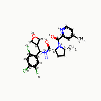 Cc1ccnc(C(=O)N2[C@H](C)CC[C@@H]2C(=O)N[C@@H](c2cc(F)c(Cl)cc2F)C2COC2)c1